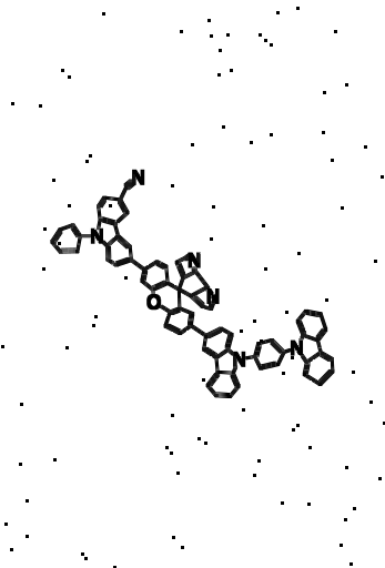 N#Cc1ccc2c(c1)c1cc(-c3ccc4c(c3)Oc3ccc(-c5ccc6c(c5)c5ccccc5n6-c5ccc(-n6c7ccccc7c7ccccc76)cc5)cc3C43c4cccnc4-c4ncccc43)ccc1n2-c1ccccc1